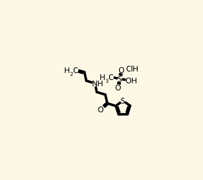 C=CCNCCC(=O)c1cccs1.CS(=O)(=O)O.Cl